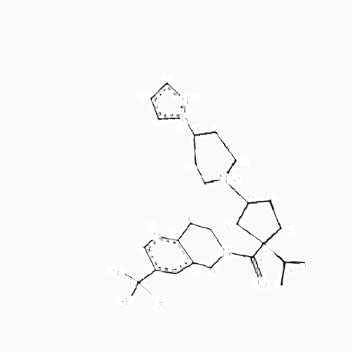 CC(C)[C@]1(C(=O)N2CCc3ncc(C(F)(F)F)cc3C2)CCC(N2CCC(n3cccn3)CC2)C1